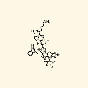 CC(C)C[C@H](NC(=O)[C@@H]1CCCN1C(=O)[C@@H](N)CCCCN)C(=O)N[C@@H](Cc1c[nH]c2ccccc12)C(=O)N[C@@H](Cc1c[nH]cn1)C(=O)N[C@H](C(N)=O)C(C)C